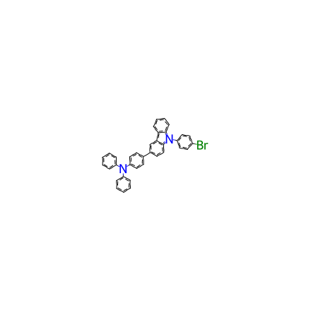 Brc1ccc(-n2c3ccccc3c3cc(-c4ccc(N(c5ccccc5)c5ccccc5)cc4)ccc32)cc1